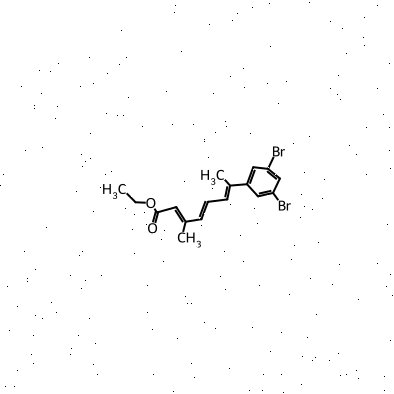 CCOC(=O)C=C(C)C=CC=C(C)c1cc(Br)cc(Br)c1